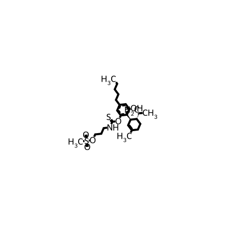 C=C(C)[C@@H]1CCC(C)=C[C@H]1c1c(O)cc(CCCCC)cc1OC(=S)NCCCOS(C)(=O)=O